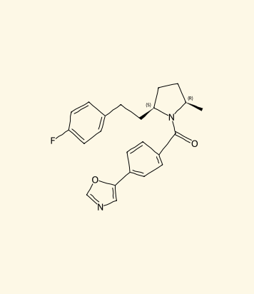 C[C@@H]1CC[C@H](CCc2ccc(F)cc2)N1C(=O)c1ccc(-c2cnco2)cc1